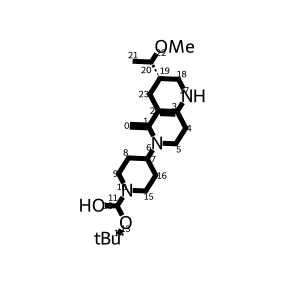 C=C1C2=C(CCN1C1CCN(C(O)OC(C)(C)C)CC1)NC[C@@H](C(C)OC)C2